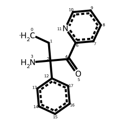 [CH2]CC(N)(C(=O)c1ccccn1)c1ccccc1